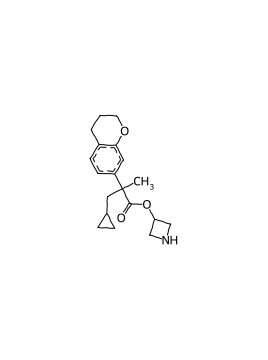 CC(CC1CC1)(C(=O)OC1CNC1)c1ccc2c(c1)OCCC2